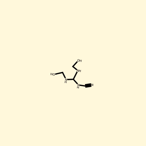 N#CNC(NCO)NCO